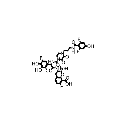 O=C(NCCCN1CCN(C(=O)NC(C(=O)N[C@H]2Cc3ccc(F)c(C(=O)O)c3OB2O)c2cc(F)c(O)c(O)c2Cl)C(=O)C1=O)c1c(F)cc(O)cc1F